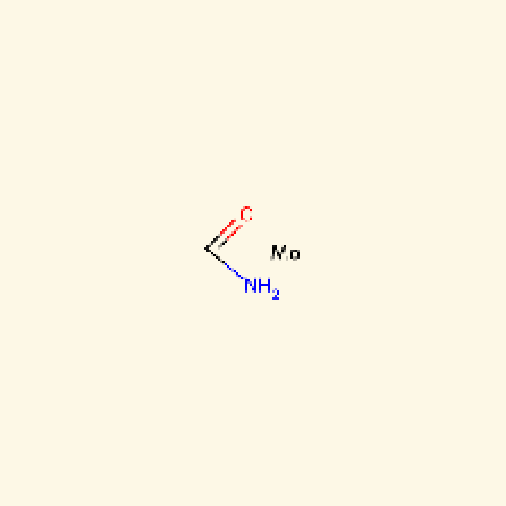 NC=O.[Mo]